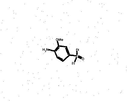 CCP(=O)(CC)c1ccc(N)c(OC)c1